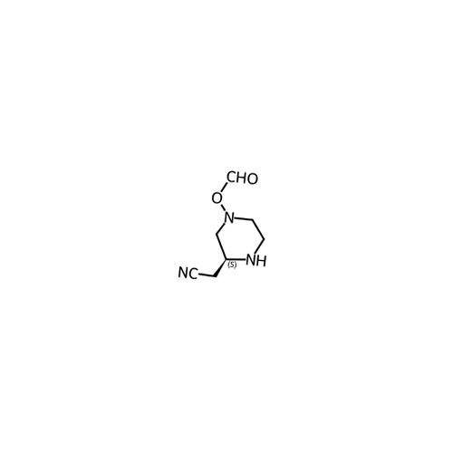 N#CC[C@H]1CN(OC=O)CCN1